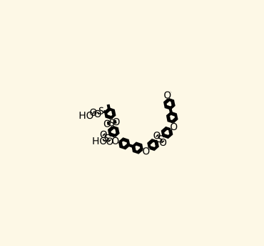 COc1ccc(-c2ccc(Oc3ccc(S(=O)(=O)c4ccc(Oc5ccc(-c6ccc(Oc7ccc(S(=O)(=O)c8ccc(C)c(SOOO)c8)cc7S(=O)(=O)O)cc6)cc5)cc4)cc3)cc2)cc1